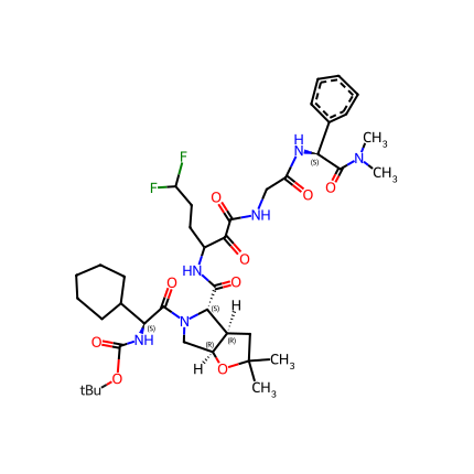 CN(C)C(=O)[C@@H](NC(=O)CNC(=O)C(=O)C(CCC(F)F)NC(=O)[C@@H]1[C@H]2CC(C)(C)O[C@H]2CN1C(=O)[C@@H](NC(=O)OC(C)(C)C)C1CCCCC1)c1ccccc1